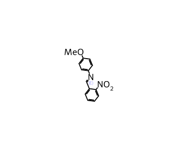 COc1ccc(/N=C/c2ccccc2[N+](=O)[O-])cc1